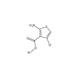 CCOC(=O)c1c(Cl)csc1N